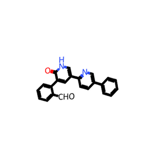 O=Cc1ccccc1-c1cc(-c2ccc(-c3ccccc3)cn2)c[nH]c1=O